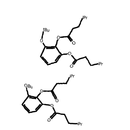 CC(C)CCC(=O)Oc1cccc(OC(C)(C)C)c1OC(=O)CCC(C)C.CC(C)CCC(=O)Oc1cccc(OCC(C)C)c1OC(=O)CCC(C)C